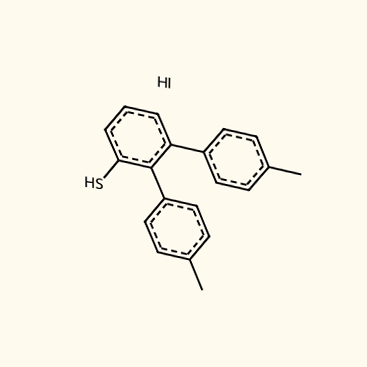 Cc1ccc(-c2cccc(S)c2-c2ccc(C)cc2)cc1.I